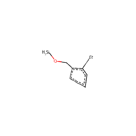 CCc1ccccc1CO[SiH3]